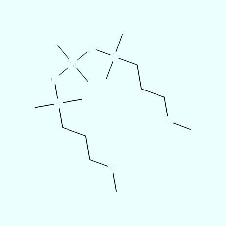 COCCC[Si](C)(C)O[Si](C)(C)O[Si](C)(C)CCCOC